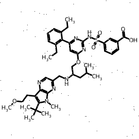 CCc1cccc(CC)c1-c1cc(OCC(CC(C)C)NCc2cnc3c(CCOC)c(C(C)(C)C)n(C)c3n2)nc(NS(=O)(=O)c2cccc(C(=O)O)c2)n1